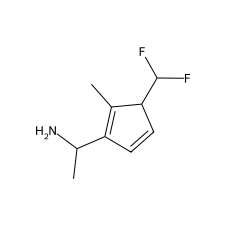 CC1=C(C(C)N)C=CC1C(F)F